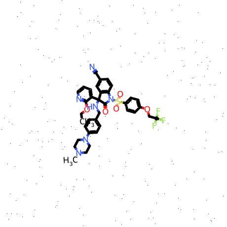 CCOc1ncccc1C1(NCc2ccc(N3CCN(C)CC3)cc2)C(=O)N(S(=O)(=O)c2ccc(OCC(F)(F)F)cc2)c2ccc(C#N)cc21